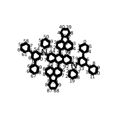 c1ccc(-c2cc(-c3ccccc3)cc(N(c3ccccc3)c3ccc4c(-c5ccc6c7c(cccc57)-c5ccccc5-6)c5cc(N(c6ccccc6)c6cc(-c7ccccc7)cc(-c7ccccc7)c6)ccc5c(-c5ccc6c7c(cccc57)-c5ccccc5-6)c4c3)c2)cc1